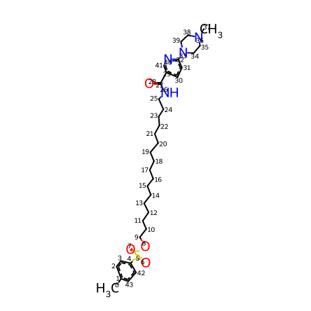 Cc1ccc(S(=O)(=O)OCCCCCCCCCCCCCCCCCNC(=O)c2ccc(N3CCN(C)CC3)nc2)cc1